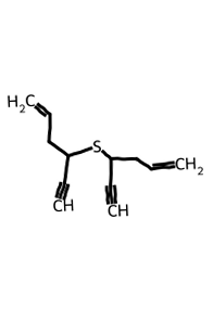 C#CC(CC=C)SC(C#C)CC=C